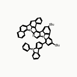 CC(C)(C)c1cc(-c2ccc3c(c2)c2ccccc2n3-c2ccccc2)c2c(c1)c1cc(C(C)(C)C)cc3c4c5c6c7ccccc7cc7c8ccc9ccccc9c8n(c5ncc4n2c13)c76